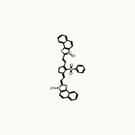 CCN1/C(=C/C=C2\CCC(/C=C/c3sc4c5ccccc5ccc4[n+]3CC)=C2S(=O)(=O)c2ccccc2)Sc2c1ccc1ccccc21